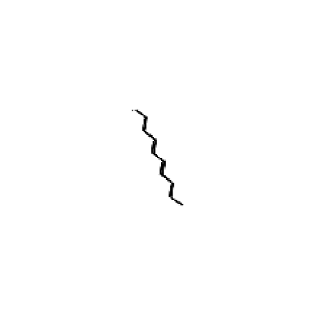 [CH2]C=CC=CC=CC=CC